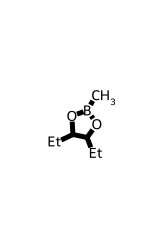 CCC1OB(C)OC1CC